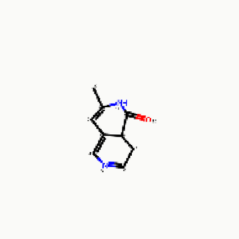 CC1=CC2=CN=CCC2C(=O)N1